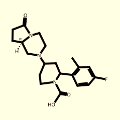 Cc1cc(F)ccc1C1CC(N2CCN3C(=O)CC[C@@H]3C2)CCN1C(=O)O